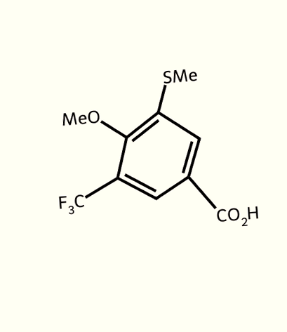 COc1c(SC)cc(C(=O)O)cc1C(F)(F)F